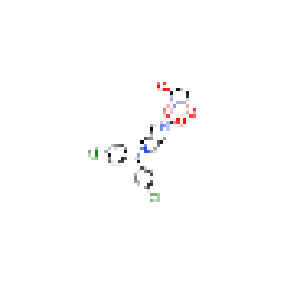 O=C(ON1C(=O)CCC1=O)N1CC2CN(C(c3ccc(Cl)cc3)c3ccc(Cl)cc3)CC2C1